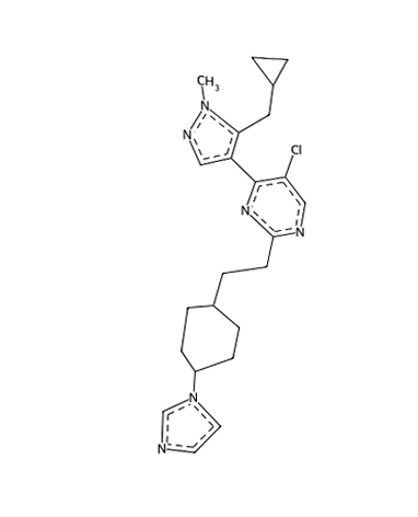 Cn1ncc(-c2nc(CCC3CCC(n4ccnc4)CC3)ncc2Cl)c1CC1CC1